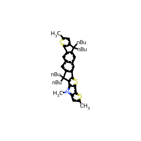 CCCCC1(CCCC)c2cc3cc4c(cc3cc2-c2sc(C)cc21)C(CCCC)(CCCC)c1c-4sc2c3sc(C)cc3n(C)c12